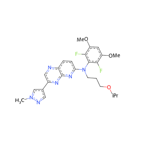 COc1cc(OC)c(F)c(N(CCCOC(C)C)c2ccc3ncc(-c4cnn(C)c4)nc3n2)c1F